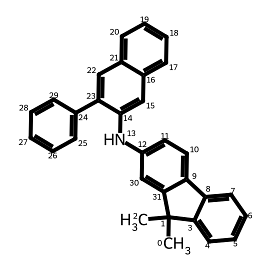 CC1(C)c2ccccc2-c2ccc(Nc3cc4ccccc4cc3-c3ccccc3)cc21